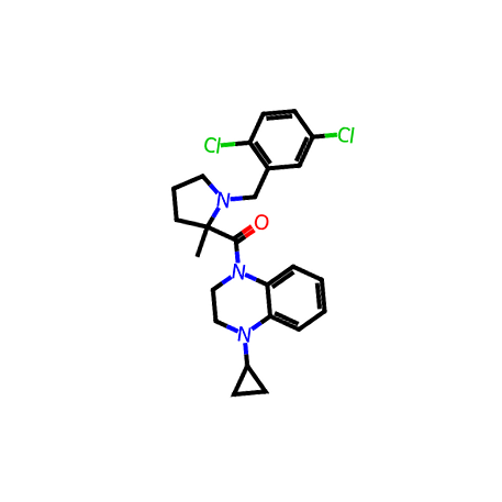 CC1(C(=O)N2CCN(C3CC3)c3ccccc32)CCCN1Cc1cc(Cl)ccc1Cl